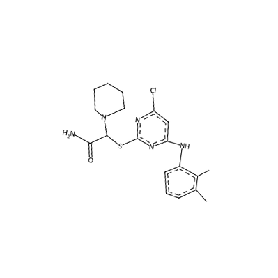 Cc1cccc(Nc2cc(Cl)nc(SC(C(N)=O)N3CCCCC3)n2)c1C